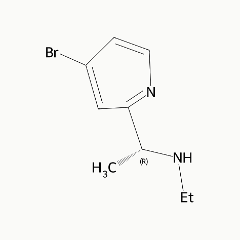 CCN[C@H](C)c1cc(Br)ccn1